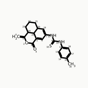 C=C1OC(=O)C2=CC(NC(=S)Nc3ccc(C)cc3)=CC3CCCC1C23